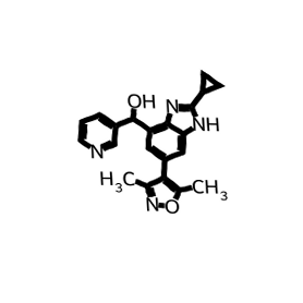 Cc1noc(C)c1-c1cc(C(O)c2cccnc2)c2nc(C3CC3)[nH]c2c1